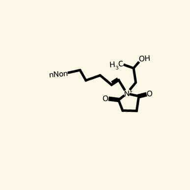 CCCCCCCCCCCCC=C[N+]1(CC(C)O)C(=O)CCC1=O